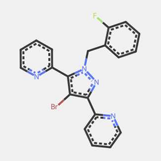 Fc1ccccc1Cn1nc(-c2ccccn2)c(Br)c1-c1ccccn1